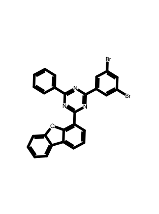 Brc1cc(Br)cc(-c2nc(-c3ccccc3)nc(-c3cccc4c3oc3ccccc34)n2)c1